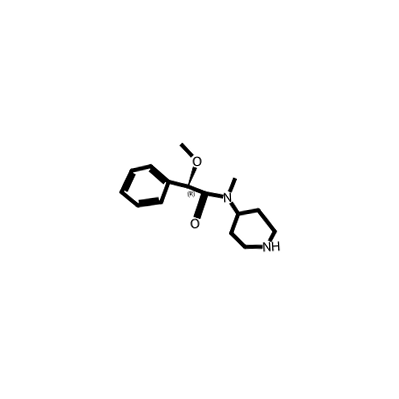 CO[C@@H](C(=O)N(C)C1CCNCC1)c1ccccc1